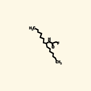 CCCCCCCC(CCCCCCC)NC(=O)CF